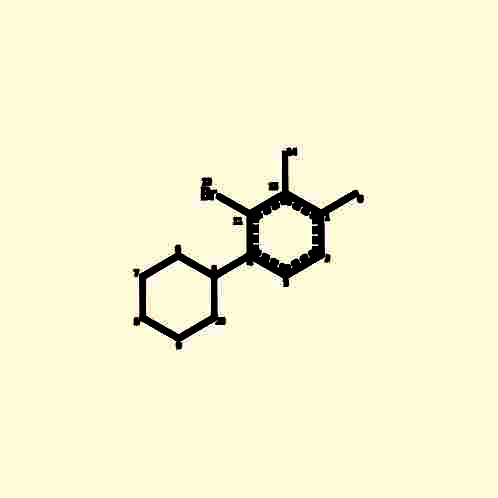 Cc1ccc(C2CCCCC2)c(Br)c1C